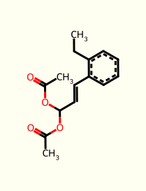 CCc1ccccc1C=CC(OC(C)=O)OC(C)=O